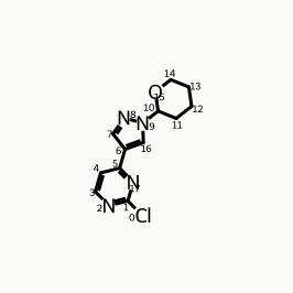 Clc1nccc(-c2cnn(C3CCCCO3)c2)n1